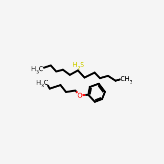 CCCCCCCCCCCC.CCCCCOc1ccccc1.S